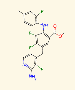 COC(=O)c1cc(Cc2ccnc(N)c2F)c(F)c(F)c1Nc1ccc(C)cc1F